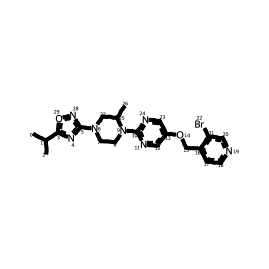 CC(C)c1nc(N2CCN(c3ncc(OCc4ccncc4Br)cn3)C(C)C2)no1